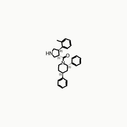 Cc1ccccc1[C@@H]1CNC[C@H]1C(=O)N1CC[C@H](c2ccccc2)C[C@H]1c1ccccc1